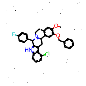 COc1cc2c(cc1OCc1ccccc1)C1Cc3c([nH]c4cccc(Cl)c34)C(C3=C=C=C(F)C=C3)N1CC2